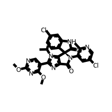 COc1ncc(-c2nc3c(n2C(C)C)[C@]2(C(=O)Nc4cc(Cl)ccc42)N(c2cc(Cl)cnc2C)C3=O)c(OC)n1